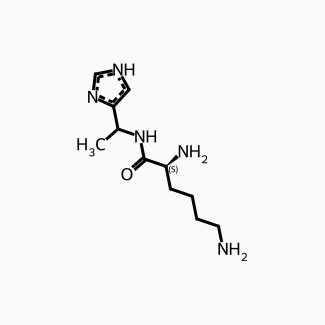 CC(NC(=O)[C@@H](N)CCCCN)c1c[nH]cn1